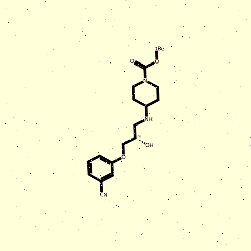 CC(C)(C)OC(=O)N1CCC(NC[C@H](O)COc2cccc(C#N)c2)CC1